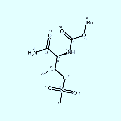 C[C@@H](OS(C)(=O)=O)[C@H](NC(=O)OC(C)(C)C)C(N)=O